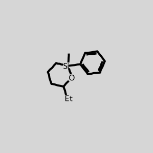 CCC1CCC[Si](C)(c2ccccc2)O1